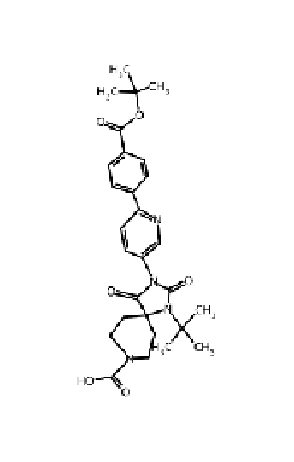 CC(C)(C)OC(=O)c1ccc(-c2ccc(N3C(=O)N(C(C)(C)C)C4(CCN(C(=O)O)CC4)C3=O)cn2)cc1